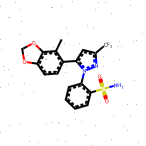 Cc1c(-c2cc(C(F)(F)F)nn2-c2ccccc2S(N)(=O)=O)ccc2c1OCO2